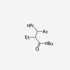 CCCCC(=O)C(CC)C(CCC)C(C)=O